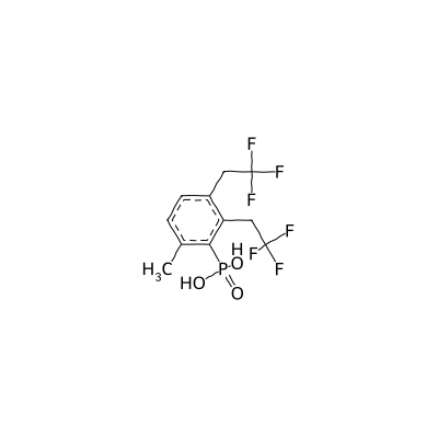 Cc1ccc(CC(F)(F)F)c(CC(F)(F)F)c1P(=O)(O)O